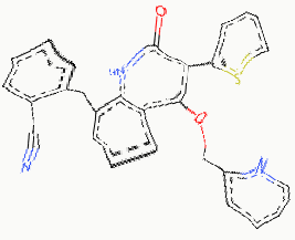 N#Cc1ccccc1-c1cccc2c(OCc3ccccn3)c(-c3cccs3)c(=O)[nH]c12